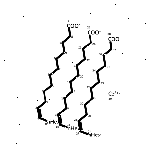 CCCCCC/C=C\CCCCCCCCCC(=O)[O-].CCCCCC/C=C\CCCCCCCCCC(=O)[O-].CCCCCC/C=C\CCCCCCCCCC(=O)[O-].[Ce+3]